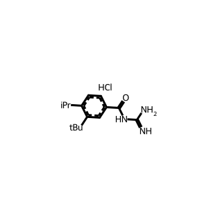 CC(C)c1ccc(C(=O)NC(=N)N)cc1C(C)(C)C.Cl